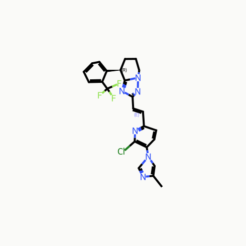 Cc1cn(-c2ccc(/C=C/c3nc4n(n3)CCC[C@@H]4c3ccccc3C(F)(F)F)nc2Cl)cn1